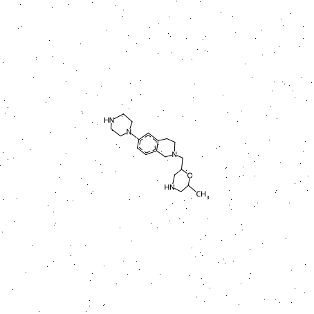 CC1CNCC(CN2CCc3cc(N4CCNCC4)ccc3C2)O1